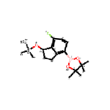 CC1(C)OB(c2ccc(F)c3c2CCC3O[Si](C)(C)C(C)(C)C)OC1(C)C